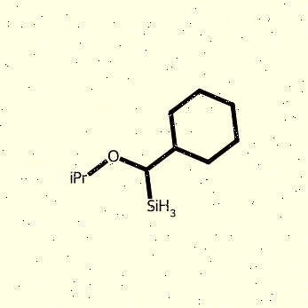 CC(C)OC([SiH3])C1CCCCC1